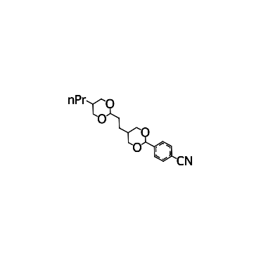 CCCC1COC(CCC2COC(c3ccc(C#N)cc3)OC2)OC1